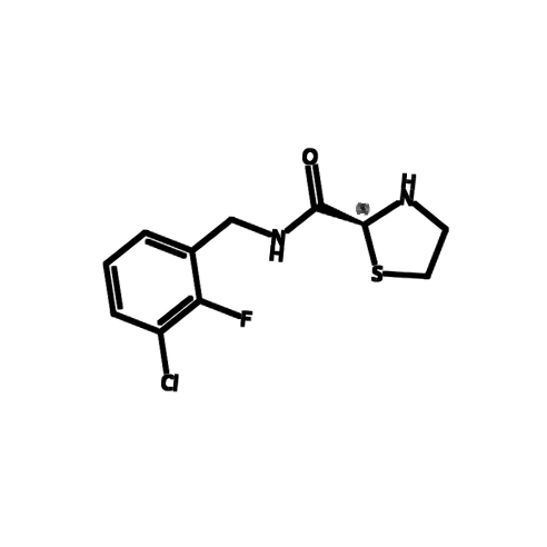 O=C(NCc1cccc(Cl)c1F)[C@H]1NCCS1